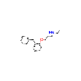 CCNCCCOc1ccccc1Cc1ccccc1